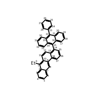 CCc1c2ccccc2cc2c1ccc1c(-c3c4ccccc4c(-c4ccccc4)c4ccccc34)cccc12